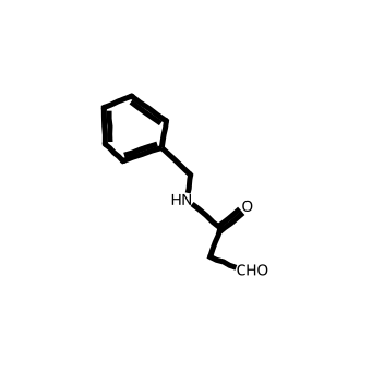 O=CCC(=O)NCc1ccccc1